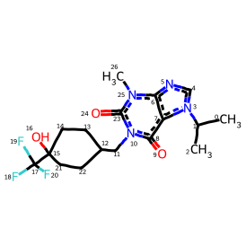 CC(C)n1cnc2c1c(=O)n(CC1CCC(O)(C(F)(F)F)CC1)c(=O)n2C